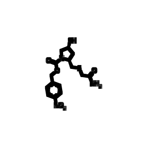 NC(=O)CSC[C@@H]1C[C@H](S)CN1C(=O)OCc1ccc([N+](=O)[O-])cc1